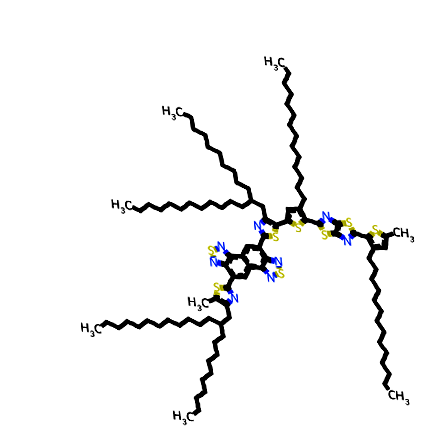 CCCCCCCCCCCCCCc1cc(C)sc1-c1nc2sc(-c3sc(-c4sc(-c5cc6c(cc(-c7nc(CC(CCCCCCCCCC)CCCCCCCCCCCC)c(C)s7)c7nsnc76)c6nsnc56)nc4CC(CCCCCCCCCC)CCCCCCCCCCCC)cc3CCCCCCCCCCCCCC)nc2s1